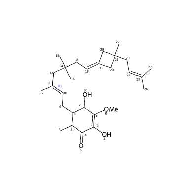 COC1=C(O)C(=O)C(C)C(C/C=C(\C)CC(C)(C)CC=C2CC(C)(CC=C(C)C)C2)C1O